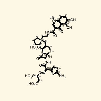 CCn1cc(C(=O)NCC[N+]2(CC3=C(C(=O)O)N4C(=O)[C@@H](NC(=O)/C(=N\O[C@@H](CC(=O)O)C(=O)O)c5csc(N)n5)[C@H]4SC3)CCCC2)c(=O)c2c(O)c(O)ccc21